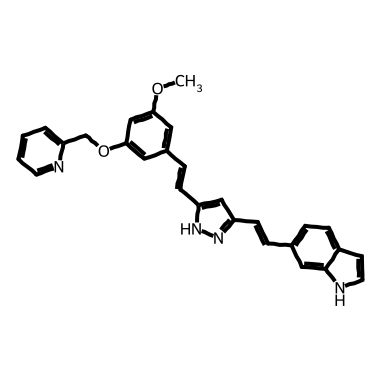 COc1cc(C=Cc2cc(C=Cc3ccc4cc[nH]c4c3)n[nH]2)cc(OCc2ccccn2)c1